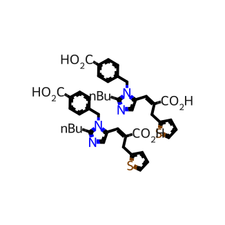 CCCCc1ncc(/C=C(\Cc2cccs2)C(=O)O)n1Cc1ccc(C(=O)O)cc1.CCCCc1ncc(/C=C(\Cc2cccs2)C(=O)O)n1Cc1ccc(C(=O)O)cc1